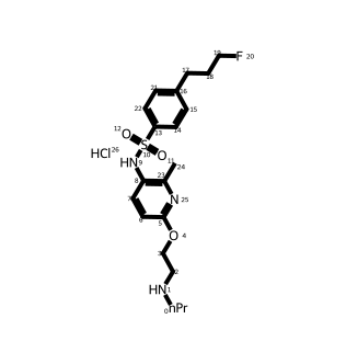 CCCNCCOc1ccc(NS(=O)(=O)c2ccc(CCCF)cc2)c(C)n1.Cl